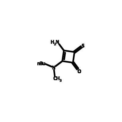 CCCCN(C)c1c(N)c(=S)c1=O